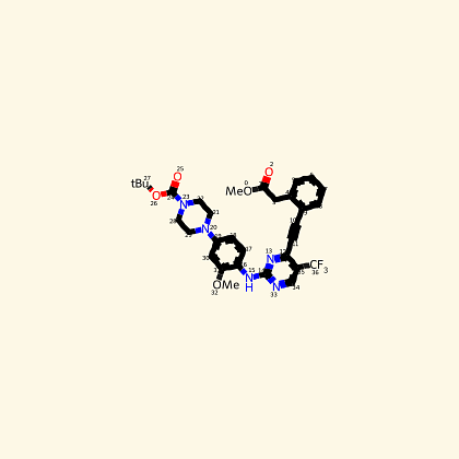 COC(=O)Cc1ccccc1C#Cc1nc(Nc2ccc(N3CCN(C(=O)OC(C)(C)C)CC3)cc2OC)ncc1C(F)(F)F